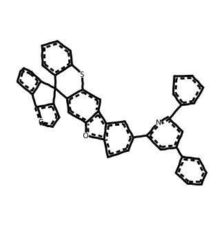 c1ccc(-c2cc(-c3ccccc3)nc(-c3ccc4oc5cc6c(cc5c4c3)Sc3ccccc3C63c4ccccc4-c4ccccc43)c2)cc1